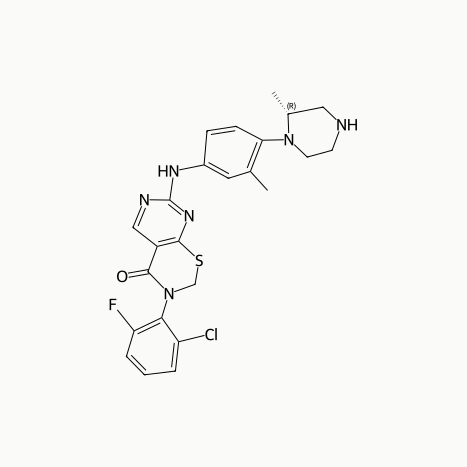 Cc1cc(Nc2ncc3c(n2)SCN(c2c(F)cccc2Cl)C3=O)ccc1N1CCNC[C@H]1C